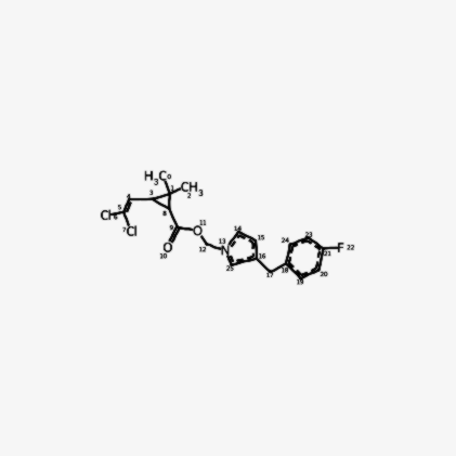 CC1(C)C(C=C(Cl)Cl)C1C(=O)OCn1ccc(Cc2ccc(F)cc2)c1